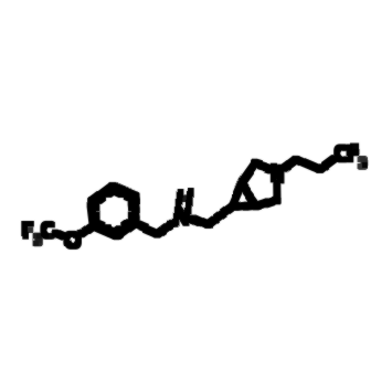 FC(F)(F)CCN1CC2C(CNCc3cccc(OC(F)(F)F)c3)C2C1